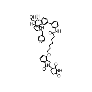 O=C1CCC(N2Cc3c(OCCCCCCC(=O)Nc4cccc(-c5ccc6c(c5)[C@H]5[C@H](CCN5Cc5ccncc5)[C@@H](CO)N6)c4)cccc3C2=O)C(=O)N1